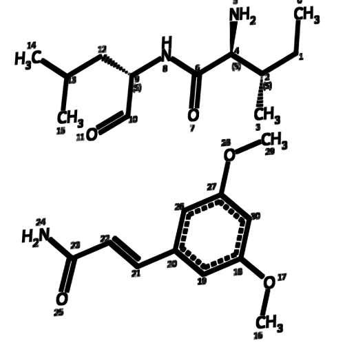 CC[C@H](C)[C@H](N)C(=O)N[C@H](C=O)CC(C)C.COc1cc(C=CC(N)=O)cc(OC)c1